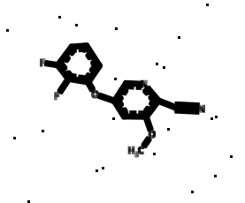 COc1cc(Oc2cccc(F)c2F)cnc1C#N